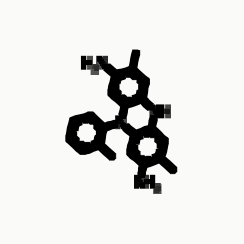 Cc1cc2c(cc1N)N(c1ccccc1C)c1cc(N)c(C)cc1N2